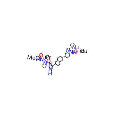 CC[C@H](C)[C@H](C)C(=O)N1CCC[C@H]1c1nc2cc(-c3ccc4cc(-c5c[nH]c([C@@H]6CCCN6C(=O)[C@@H](NC(=O)OC)C(C)C)n5)ccc4c3)ccc2[nH]1